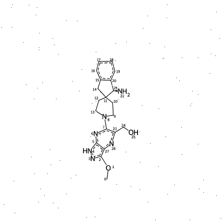 COc1n[nH]c2nc(N3CCC4(CC3)Cc3ccccc3[C@H]4N)c(CO)nc12